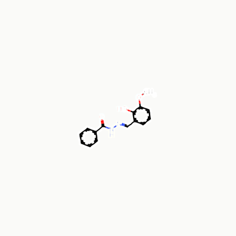 COc1cccc(/C=N/NC(=O)c2ccccc2)c1O